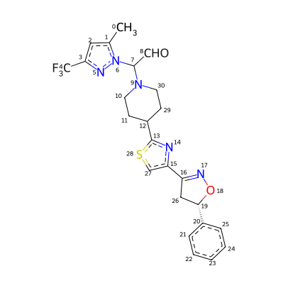 Cc1cc(C(F)(F)F)nn1C(C=O)N1CCC(c2nc(C3=NO[C@H](c4ccccc4)C3)cs2)CC1